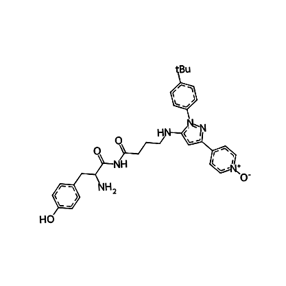 CC(C)(C)c1ccc(-n2nc(-c3cc[n+]([O-])cc3)cc2NCCCC(=O)NC(=O)C(N)Cc2ccc(O)cc2)cc1